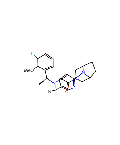 COc1c(F)cccc1[C@H](C)NCC(=O)N1CC2CCC(C1)N2c1ccc(C#N)cn1